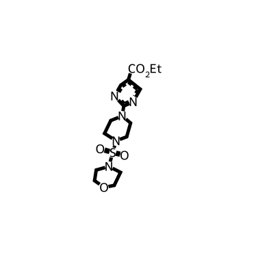 CCOC(=O)c1cnc(N2CCN(S(=O)(=O)N3CCOCC3)CC2)nc1